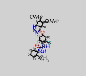 COc1cc2ncnc(Oc3ccc(NC(=O)Nc4ccccc4C)c(F)c3)c2cc1OC